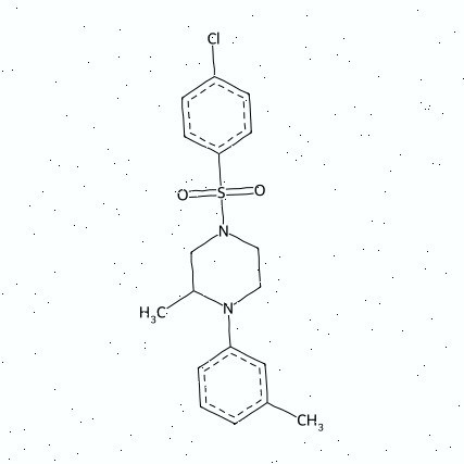 Cc1cccc(N2CCN(S(=O)(=O)c3ccc(Cl)cc3)CC2C)c1